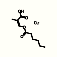 CCCCCC(=O)OC=C(C)C(=O)O.[Cu]